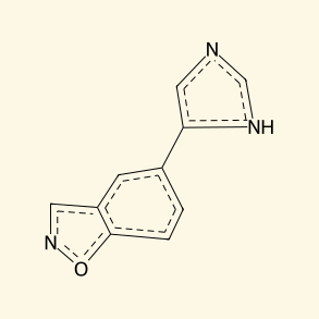 c1ncc(-c2ccc3oncc3c2)[nH]1